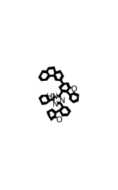 c1ccc(C2N=C(c3cccc4oc5ccccc5c34)N=C(c3cc(-c4ccc5ccc6ccccc6c5c4)cc4oc5ccccc5c34)N2)cc1